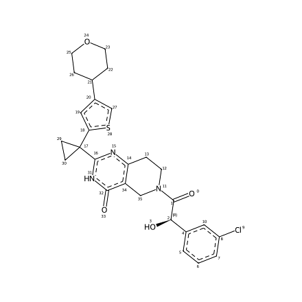 O=C([C@H](O)c1cccc(Cl)c1)N1CCc2nc(C3(c4cc(C5CCOCC5)cs4)CC3)[nH]c(=O)c2C1